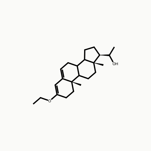 CCOC1=CC2=CCC3C(CC[C@]4(C)C3CC[C@H]4C(C)O)[C@]2(C)CC1